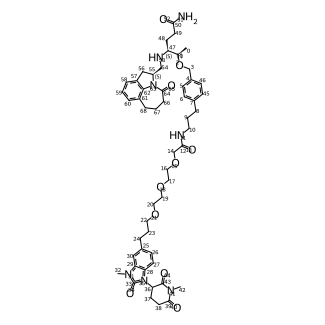 C[C@@H](OCc1ccc(CCCNC(=O)COCCOCCOCCCc2ccc3c(c2)n(C)c(=O)n3C2CCC(=O)N(C)C2=O)cc1)[C@H](CCC(N)=O)NC[C@@H]1Cc2cccc3c2N1C(=O)CCC3